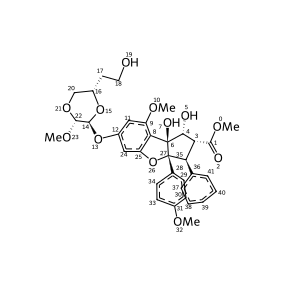 COC(=O)[C@H]1[C@@H](O)[C@@]2(O)c3c(OC)cc(O[C@@H]4O[C@@H](CCO)CO[C@H]4OC)cc3O[C@@]2(c2ccc(OC)cc2)[C@@H]1c1ccccc1